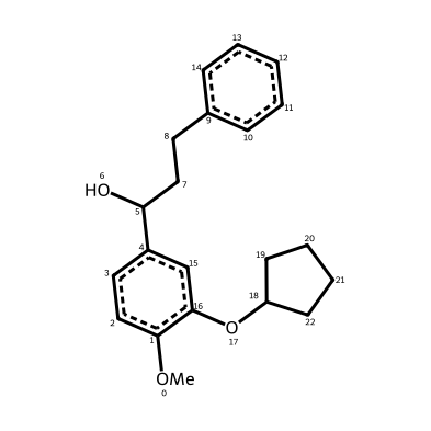 COc1ccc(C(O)CCc2ccccc2)cc1OC1CCCC1